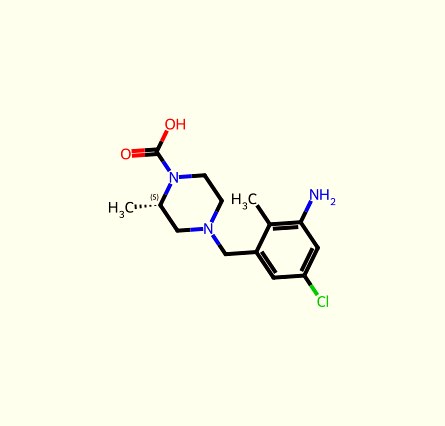 Cc1c(N)cc(Cl)cc1CN1CCN(C(=O)O)[C@@H](C)C1